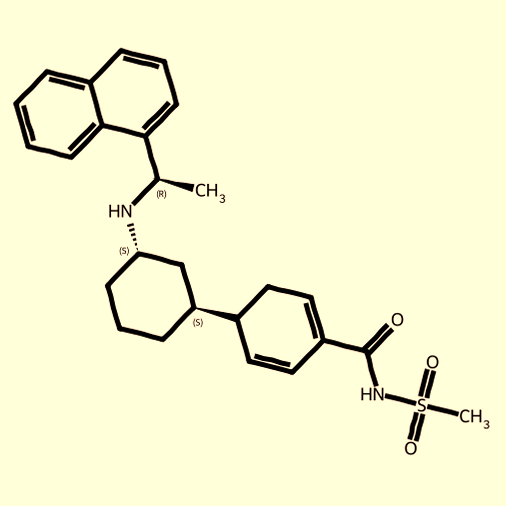 C[C@@H](N[C@H]1CCC[C@H](C2C=CC(C(=O)NS(C)(=O)=O)=CC2)C1)c1cccc2ccccc12